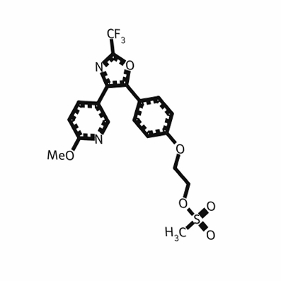 COc1ccc(-c2nc(C(F)(F)F)oc2-c2ccc(OCCOS(C)(=O)=O)cc2)cn1